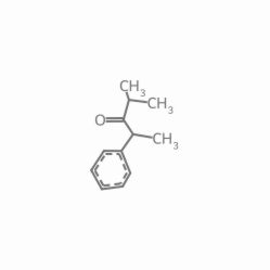 CC(C)C(=O)C(C)c1ccccc1